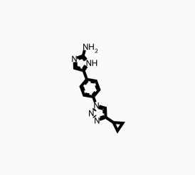 Nc1ncc(-c2ccc(-n3cc(C4CC4)nn3)cc2)[nH]1